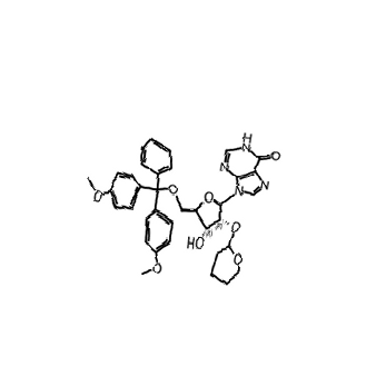 COc1ccc(C(OCC2OC(n3cnc4c(=O)[nH]cnc43)[C@H](OC3CCCCO3)[C@@H]2O)(c2ccccc2)c2ccc(OC)cc2)cc1